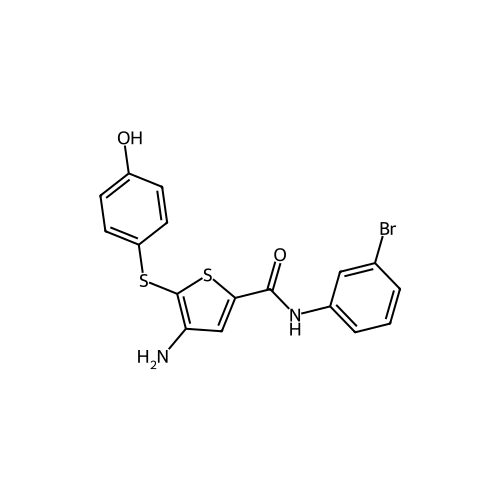 Nc1cc(C(=O)Nc2cccc(Br)c2)sc1Sc1ccc(O)cc1